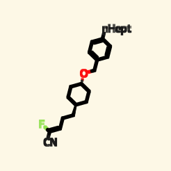 CCCCCCCc1ccc(CO[C@H]2CC[C@H](CCC=C(F)C#N)CC2)cc1